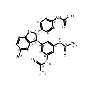 CC(=O)Oc1ccc([C@H]2Oc3ccc(Br)cc3[C@@H]2c2cc(OC(C)=O)cc(OC(C)=O)c2)cc1